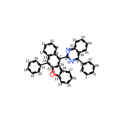 c1ccc(-c2nc(-c3c4ccccc4c(-c4ccccc4)c4oc5ccccc5c34)nc3ccccc23)cc1